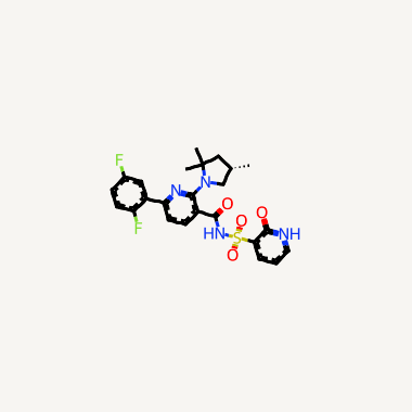 C[C@@H]1CN(c2nc(-c3cc(F)ccc3F)ccc2C(=O)NS(=O)(=O)c2ccc[nH]c2=O)C(C)(C)C1